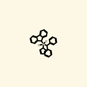 [Cl][Zr]([Cl])([CH]1C=CC=C1)([CH](c1ccccc1)c1ccccc1)[CH]1c2ccccc2-c2ccccc21